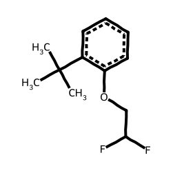 CC(C)(C)c1ccccc1OCC(F)F